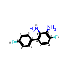 Nc1c(F)ccc(-c2ccc(F)cc2)c1N